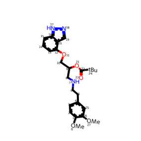 COc1ccc(CCNCC(COc2cccc3[nH]ncc23)OC(=O)C(C)(C)C)cc1OC